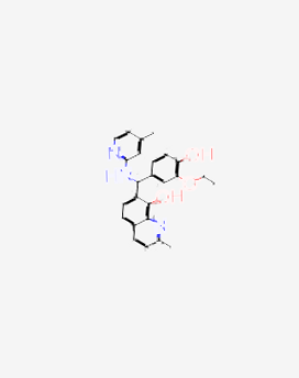 CCOc1cc(C(Nc2cc(C)ccn2)c2ccc3ccc(C)nc3c2O)ccc1O